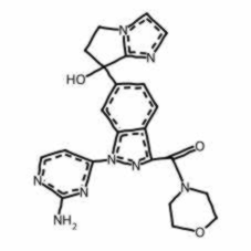 Nc1nccc(-n2nc(C(=O)N3CCOCC3)c3ccc(C4(O)CCn5ccnc54)cc32)n1